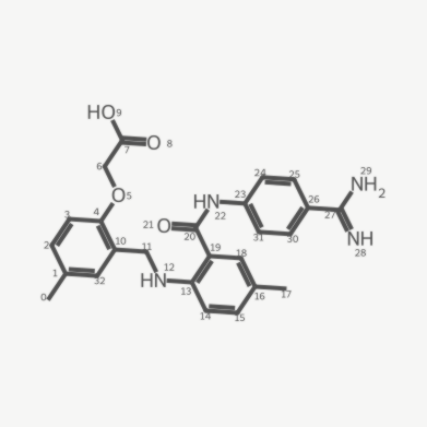 Cc1ccc(OCC(=O)O)c(CNc2ccc(C)cc2C(=O)Nc2ccc(C(=N)N)cc2)c1